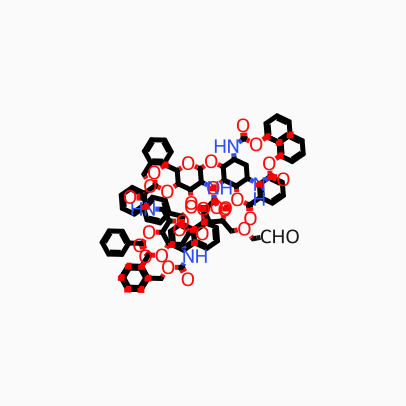 O=CCOCC1OC(OC2C(OC(=O)c3ccccc3)C(NC(=O)OCc3ccccc3)CC(NC(=O)OCc3ccccc3)C2OC2OC3COC(c4ccccc4)OC3C(OC(=O)c3ccccc3)C2NC(=O)OCc2ccccc2)C(OC(=O)c2ccccc2)C1OC1OC(CNC(=O)OCc2ccccc2)C(OC(=O)c2ccccc2)C(OC(=O)c2ccccc2)C1NC(=O)OCc1ccccc1